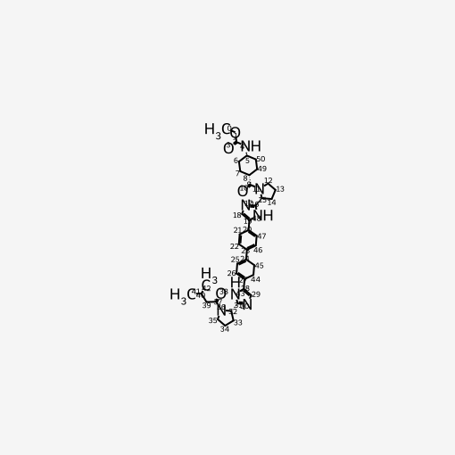 COC(=O)N[C@H]1CC[C@@H](C(=O)N2CCC[C@H]2c2ncc(-c3ccc(C4=CC=C(c5cnc([C@@H]6CCCN6C(=O)CC(C)C)[nH]5)CC4)cc3)[nH]2)CC1